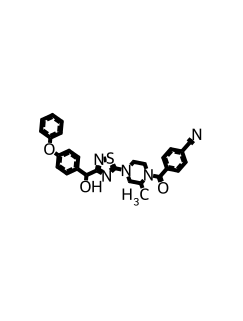 CC1CN(c2nc(C(O)c3ccc(Oc4ccccc4)cc3)ns2)CCN1C(=O)c1ccc(C#N)cc1